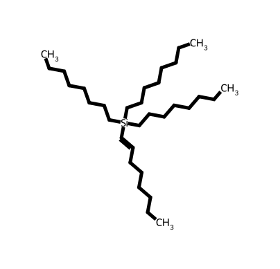 CCCCCCC=C[Si](CCCCCCCC)(CCCCCCCC)CCCCCCCC